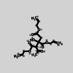 C=CCOC(=O)CC(O)(C(=O)OCC=C)C(C(C)=O)C(=O)OCC=C